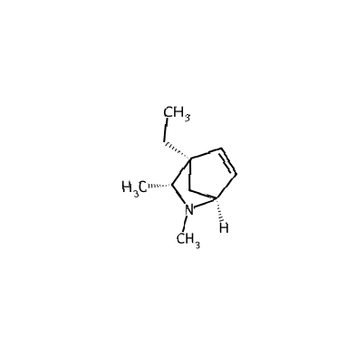 CC[C@]12C=C[C@H](C1)N(C)[C@@H]2C